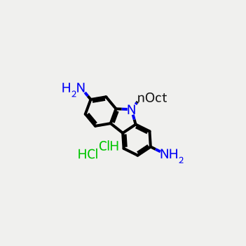 CCCCCCCCn1c2cc(N)ccc2c2ccc(N)cc21.Cl.Cl